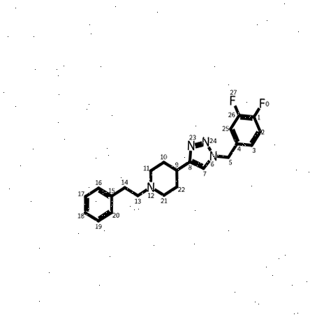 Fc1ccc(Cn2cc(C3CCN(CCc4ccccc4)CC3)nn2)cc1F